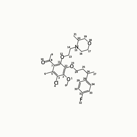 COc1c(Cl)c(C)c(C(C)=O)c(OCCN2CCOCC2C)c1OCCC(C)c1ccc(F)cc1